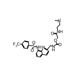 CN(C)CCNC(=O)COC(=O)NCc1ccc2cccc(NS(=O)(=O)c3ccc(C(F)(F)F)cc3)c2n1